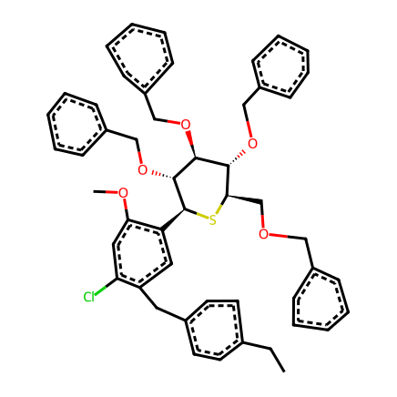 CCc1ccc(Cc2cc([C@@H]3S[C@H](COCc4ccccc4)[C@@H](OCc4ccccc4)[C@H](OCc4ccccc4)[C@H]3OCc3ccccc3)c(OC)cc2Cl)cc1